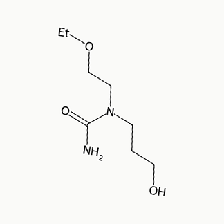 [CH2]COCCN(CCCO)C(N)=O